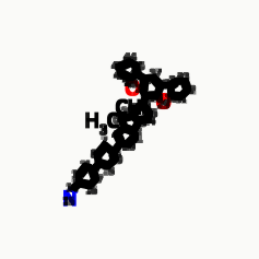 CC1(C)c2cc(-c3ccc(-c4ccc(C#N)cc4)cc3)ccc2-c2ccc(-c3c4oc5ccccc5c4cc4c3oc3ccccc34)cc21